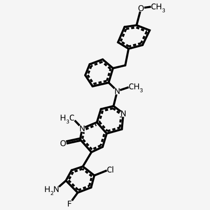 COc1ccc(Cc2ccccc2N(C)c2cc3c(cn2)cc(-c2cc(N)c(F)cc2Cl)c(=O)n3C)cc1